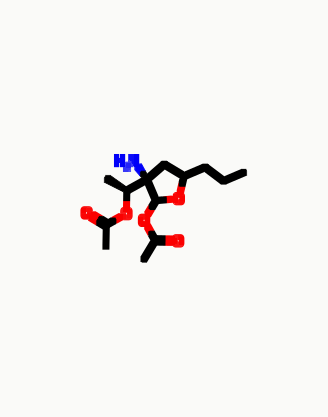 CCCC1C[C@@](N)([C@H](C)OC(C)=O)C(OC(C)=O)O1